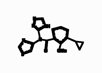 COc1c(C(=O)N(c2cscn2)c2nnc[nH]2)cccc1C1CC1